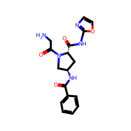 NCC(=O)N1C[C@H](NC(=O)c2ccccc2)C[C@H]1C(=O)Nc1ncco1